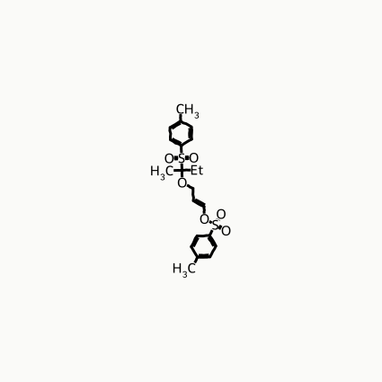 CCC(C)(OCC=COS(=O)(=O)c1ccc(C)cc1)S(=O)(=O)c1ccc(C)cc1